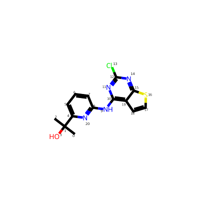 CC(C)(O)c1cccc(Nc2nc(Cl)nc3sccc23)n1